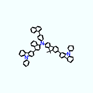 CC1(C)c2cc(-c3ccc4c5ccccc5n(-c5ccccc5)c4c3)ccc2-c2ccc(N(c3ccc(-c4cccc5ccccc45)cc3)c3ccc(-c4ccc5c(c4)c4ccccc4n5-c4ccccc4)c4ccccc34)cc21